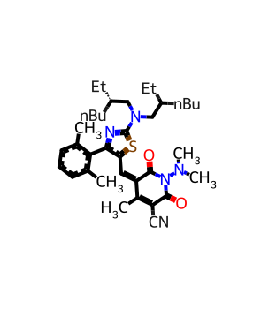 CCCCC(CC)CN(C[C@@H](CC)CCCC)c1nc(-c2c(C)cccc2C)c(/C=C2\C(=O)N(N(C)C)C(=O)C(C#N)=C2C)s1